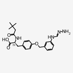 CC(C)(C)CC(=O)N[C@@H](Cc1ccc(OCc2cccc(NC=NN)c2)cc1)C(=O)O